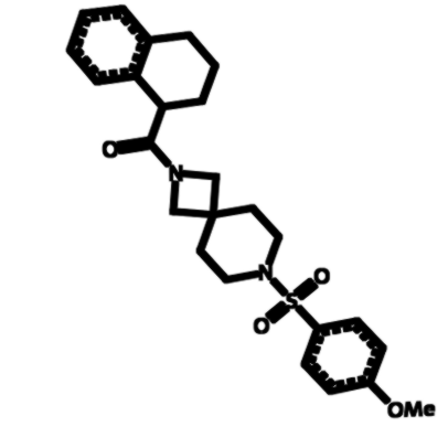 COc1ccc(S(=O)(=O)N2CCC3(CC2)CN(C(=O)C2CCCc4ccccc42)C3)cc1